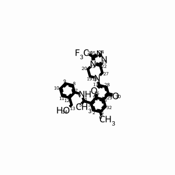 Cc1cc(C(C)Nc2ccccc2CO)c2oc(N3CCn4c(nnc4C(F)(F)F)C3)cc(=O)c2c1